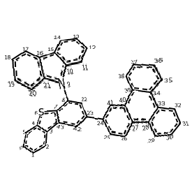 c1ccc2c(c1)sc1c(-n3c4ccccc4c4ccccc43)cc(-c3ccc4c5ccccc5c5ccccc5c4c3)cc12